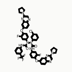 O=C(Nc1ccc(Oc2ccc3ncc(N4CCCC4)nc3c2)c(F)c1)N(c1cccc(Cl)c1)N(C(=O)Nc1cccc(C(F)(F)F)c1)c1ccc(Oc2ccc3ncc(N4CCCC4)nc3c2)c(F)c1